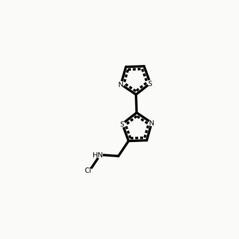 ClNCc1cnc(-c2nccs2)s1